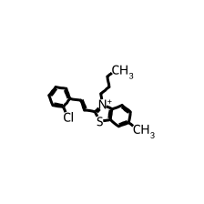 CCCC[n+]1c(C=Cc2ccccc2Cl)sc2cc(C)ccc21